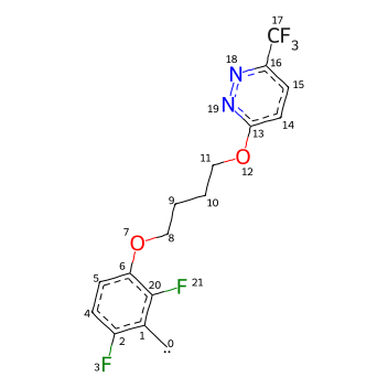 [CH]c1c(F)ccc(OCCCCOc2ccc(C(F)(F)F)nn2)c1F